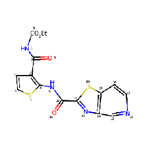 CCOC(=O)NC(=O)c1ccsc1NC(=O)c1nc2cnccc2s1